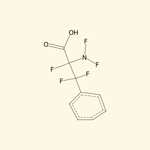 O=C(O)C(F)(N(F)F)C(F)(F)c1ccccc1